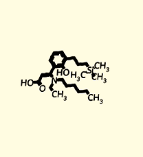 CCCCCCN(CC)/C(=C\C(=O)O)c1cccc(CCC[Si](C)(C)C)c1O